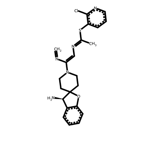 C=N/C(=C\N=C(/C)Sc1cccnc1Cl)N1CCC2(CC1)Oc1ccccc1[C@H]2N